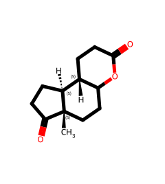 C[C@]12CCC3OC(=O)CC[C@H]3[C@@H]1CCC2=O